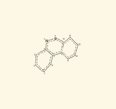 b1nc2ccccc2c2ccccc12